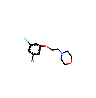 Cc1cc(F)cc(OCCN2CCOCC2)c1